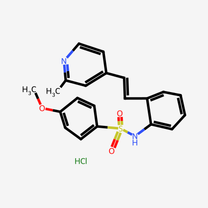 COc1ccc(S(=O)(=O)Nc2ccccc2/C=C/c2ccnc(C)c2)cc1.Cl